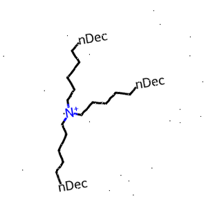 CCCCCCCCCCCCCCC[N+](CCCCCCCCCCCCCCC)CCCCCCCCCCCCCCC